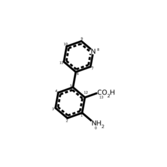 Nc1cccc(-c2[c]nccc2)c1C(=O)O